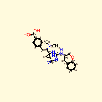 CN(C)C(Cc1ccc(B(O)O)cc1)C1(NC(=NC#N)N[C@H]2COc3ccccc3C2)CC1